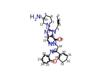 CC#CCn1c(N2CCC[C@@H](N)C2)nc2cnn(CC3=Nc4ccccc4OC4=C3C=CCC4)c(=O)c21